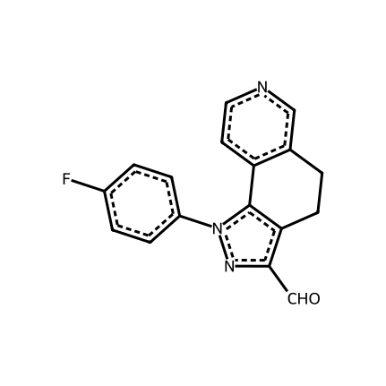 O=Cc1nn(-c2ccc(F)cc2)c2c1CCc1cnccc1-2